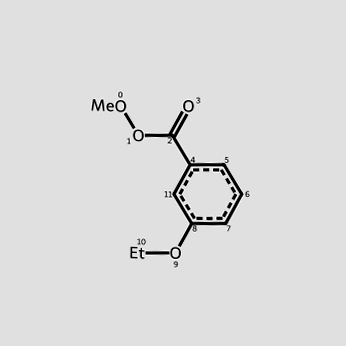 [CH2]OOC(=O)c1cccc(OCC)c1